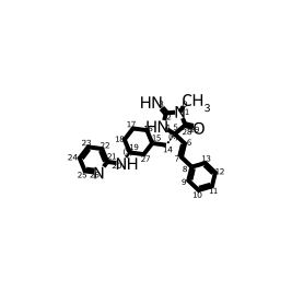 CN1C(=N)N[C@@](C=Cc2ccccc2)(CC2CCC[C@H](Nc3ccccn3)C2)C1=O